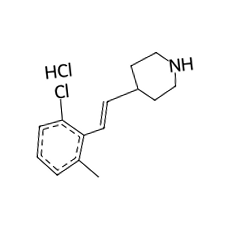 Cc1cccc(Cl)c1/C=C/C1CCNCC1.Cl